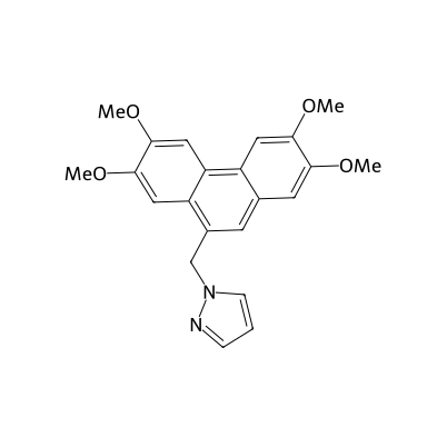 COc1cc2cc(Cn3cccn3)c3cc(OC)c(OC)cc3c2cc1OC